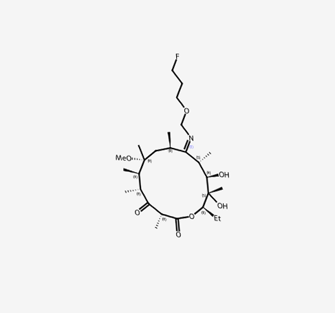 CC[C@H]1OC(=O)[C@H](C)C(=O)[C@H](C)[C@@H](C)[C@](C)(OC)C[C@@H](C)/C(=N\COCCCF)[C@H](C)[C@@H](O)[C@]1(C)O